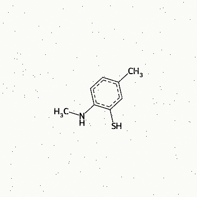 CNc1ccc(C)cc1S